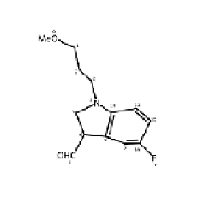 COCCCN1CC(C=O)c2cc(F)ccc21